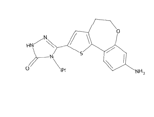 CC(C)n1c(-c2cc3c(s2)-c2ccc(N)cc2OCC3)n[nH]c1=O